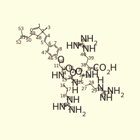 C=C[C@](C)(/C=C/c1ccc(OCC(=O)N[C@@H](CCCNC(=N)N)C(=O)N[C@@H](CCCNC(=N)N)C(=O)N[C@@H](CCCNC(=N)N)C(=O)O)cc1)CCC=C(C)C